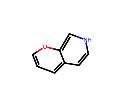 C1=COC2=CNC=CC2=C1